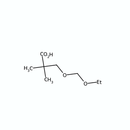 CCOCOCC(C)(C)C(=O)O